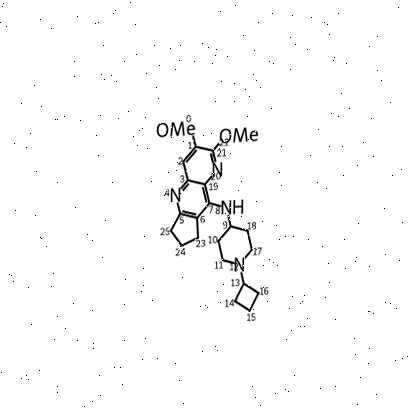 COc1cc2nc3c(c(NC4CCN(C5CCC5)CC4)c2nc1OC)CCC3